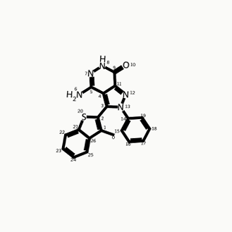 Cc1c(-c2c3c(N)n[nH]c(=O)c3nn2-c2ccccc2)sc2ccccc12